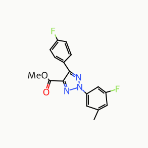 COC(=O)c1nn(-c2cc(C)cc(F)c2)nc1-c1ccc(F)cc1